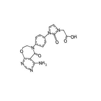 Nc1ncnc2c1C(=O)N(c1ccc(-n3ccn(CC(=O)O)c3=O)cc1)CCO2